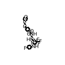 O=S(=O)(NCCNc1nc(Nc2ccc(F)cc2)cc(C(F)(F)F)n1)c1ccc(OCCN2CCOCC2)cc1